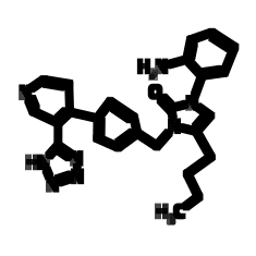 CCCCc1cn(-c2ccccc2N)c(=O)n1Cc1ccc(-c2ccncc2-c2nnn[nH]2)cc1